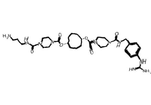 N=C(N)Nc1ccc(CNC(=O)N2CCN(C(=O)O[C@H]3CCC[C@@H](OC(=O)N4CCN(C(=O)NCCCN)CC4)CCC3)CC2)cc1